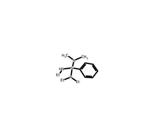 CCN[Si](c1ccccc1)(N(C)C)N(CC)CC